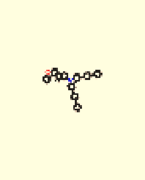 CC1(C)C2=C(C=CC3Oc4ccccc4C23)c2ccc(-n3c4ccc(-c5ccc(-c6ccccc6)cc5)cc4c4cc(-c5ccc(-c6ccccc6)cc5)ccc43)cc21